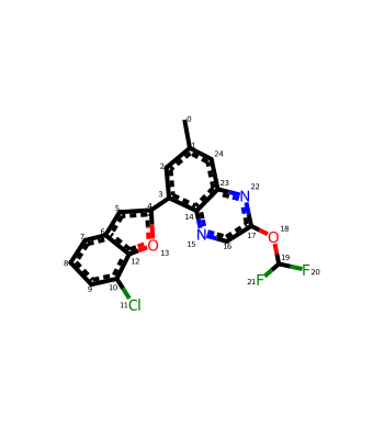 Cc1cc(-c2cc3cccc(Cl)c3o2)c2ncc(OC(F)F)nc2c1